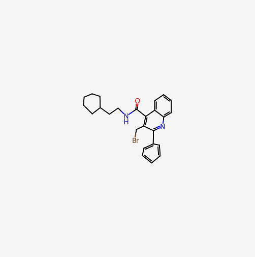 O=C(NCCC1CCCCC1)c1c(CBr)c(-c2ccccc2)nc2ccccc12